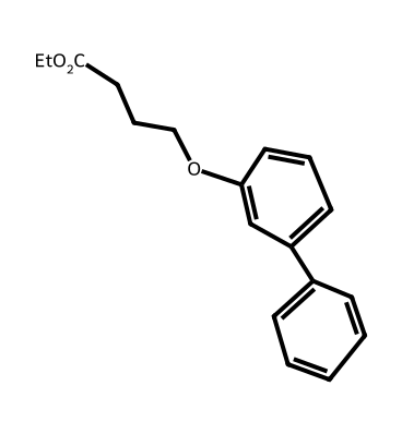 CCOC(=O)CCCOc1cccc(-c2ccccc2)c1